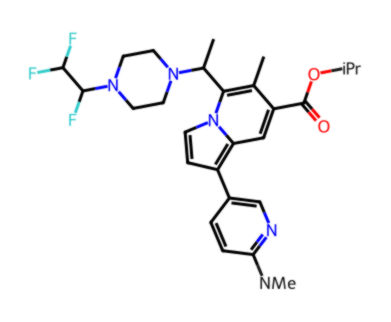 CNc1ccc(-c2ccn3c(C(C)N4CCN(C(F)C(F)F)CC4)c(C)c(C(=O)OC(C)C)cc23)cn1